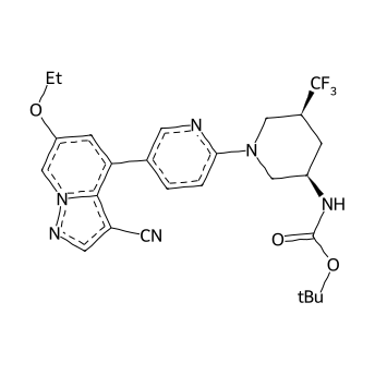 CCOc1cc(-c2ccc(N3C[C@H](NC(=O)OC(C)(C)C)C[C@H](C(F)(F)F)C3)nc2)c2c(C#N)cnn2c1